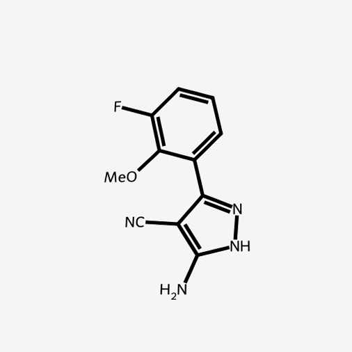 COc1c(F)cccc1-c1n[nH]c(N)c1C#N